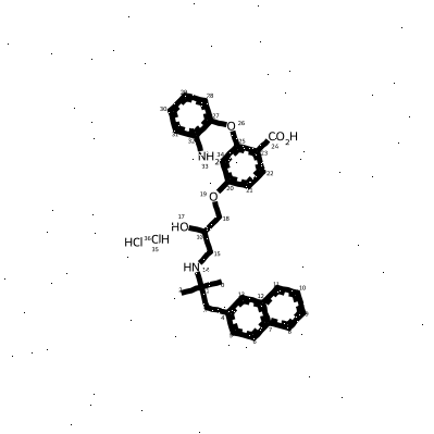 CC(C)(Cc1ccc2ccccc2c1)NCC(O)COc1ccc(C(=O)O)c(Oc2ccccc2N)c1.Cl.Cl